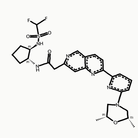 C[C@@H]1CN(c2cccc(-c3ccc4cnc(CC(=O)N[C@@H]5CCC[C@H]5NS(=O)(=O)C(F)F)cc4n3)n2)C[C@H](C)O1